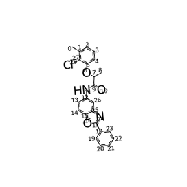 Cc1cccc(OC(C)C(=O)Nc2ccc3oc(-c4ccccc4)nc3c2)c1Cl